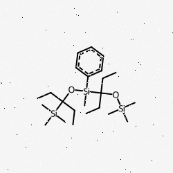 CCC(CC)(O[Si](C)(c1ccccc1)C(CC)(CC)O[Si](C)(C)C)[Si](C)(C)C